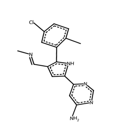 CN=Cc1cc(-c2cc(N)ncn2)[nH]c1-c1cc(Cl)ccc1C